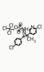 C[C@@]1(c2ccc(Cl)nc2)[C@@H](c2ccc(Cl)cc2)N1NS(=O)(=O)OCC(Cl)(Cl)Cl